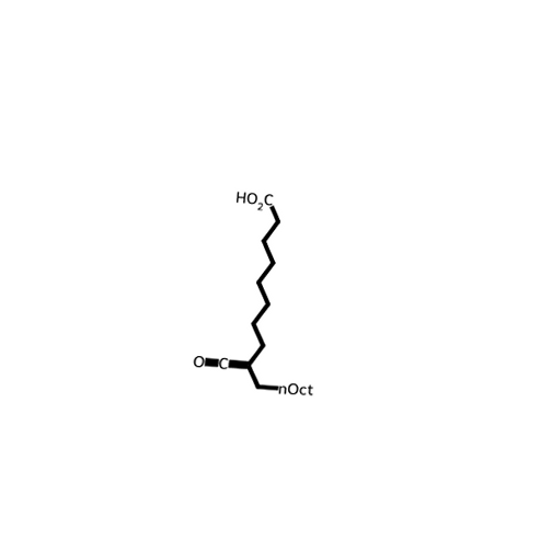 CCCCCCCCCC(=C=O)CCCCCCCC(=O)O